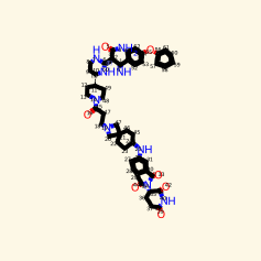 N=C(/C(C(N)=O)=C1/NCC[C@@H](C2CCN(C(=O)CCN3CC4(CCC(Nc5ccc6c(c5)C(=O)N(C5CCC(=O)NC5=O)C6=O)CC4)C3)CC2)N1)c1ccc(Oc2ccccc2)cc1